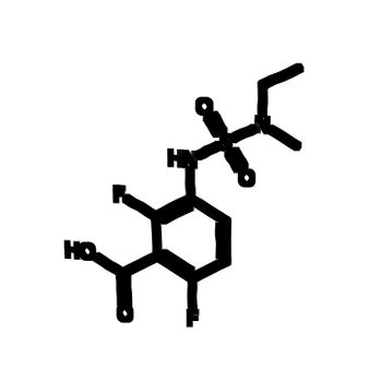 CCN(C)S(=O)(=O)Nc1ccc(F)c(C(=O)O)c1F